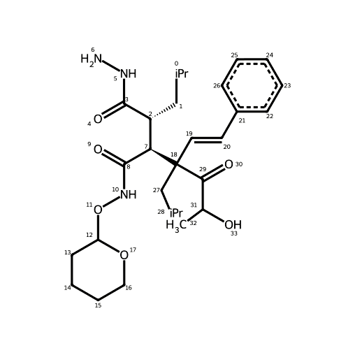 CC(C)C[C@@H](C(=O)NN)[C@H](C(=O)NOC1CCCCO1)C(/C=C/c1ccccc1)(CC(C)C)C(=O)C(C)O